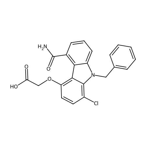 NC(=O)c1cccc2c1c1c(OCC(=O)O)ccc(Cl)c1n2Cc1ccccc1